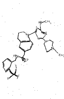 CNc1nc(N2CCN(C)CC2)nc(N2CCCc3cc(C(=O)NCc4ccccc4C(F)(F)F)ccc32)n1